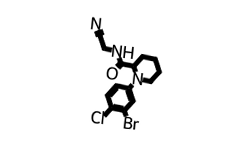 N#CCNC(=O)C1CCCCN1c1ccc(Cl)c(Br)c1